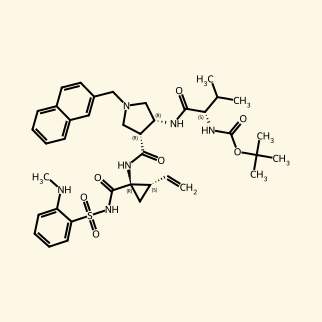 C=C[C@@H]1C[C@]1(NC(=O)[C@@H]1CN(Cc2ccc3ccccc3c2)C[C@@H]1NC(=O)[C@@H](NC(=O)OC(C)(C)C)C(C)C)C(=O)NS(=O)(=O)c1ccccc1NC